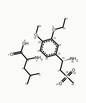 CC(C)CC(N)C(=O)O.CCOc1cc([C@H](N)CS(C)(=O)=O)ccc1OC